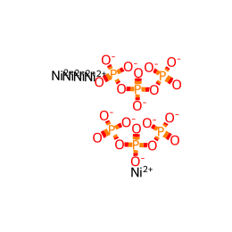 O=P([O-])([O-])OP(=O)([O-])OP(=O)([O-])[O-].O=P([O-])([O-])OP(=O)([O-])OP(=O)([O-])[O-].[Ni+2].[Ni+2].[Ni+2].[Ni+2].[Ni+2]